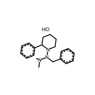 CN(C)N(Cc1ccccc1)N1CCCCC1c1ccccc1.Cl